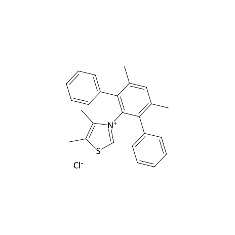 Cc1cc(C)c(-c2ccccc2)c(-[n+]2csc(C)c2C)c1-c1ccccc1.[Cl-]